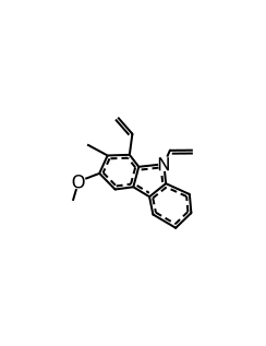 C=Cc1c(C)c(OC)cc2c3ccccc3n(C=C)c12